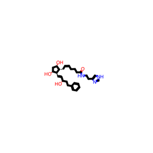 O=C(CCC/C=C\C[C@@H]1[C@@H](/C=C/[C@@H](O)CCc2ccccc2)[C@H](O)C[C@@H]1O)NCCc1c[nH]cn1